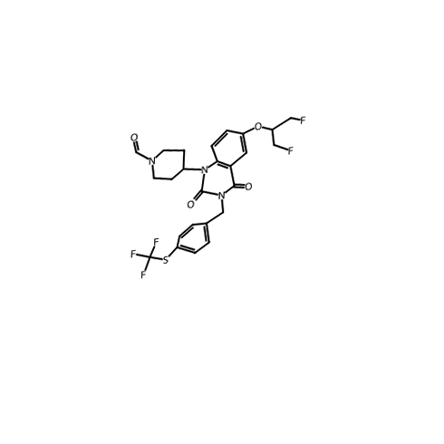 O=CN1CCC(n2c(=O)n(Cc3ccc(SC(F)(F)F)cc3)c(=O)c3cc(OC(CF)CF)ccc32)CC1